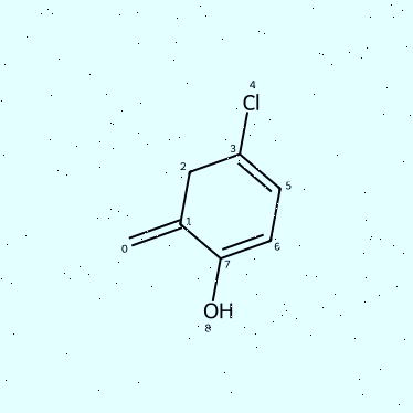 C=C1CC(Cl)=CC=C1O